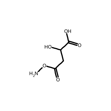 NOC(=O)CC(O)C(=O)O